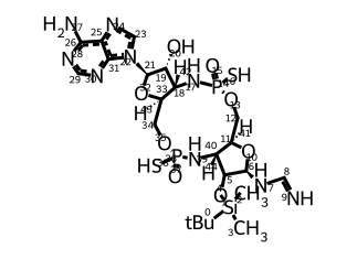 CC(C)(C)[Si](C)(C)OC1[C@H](NC=N)O[C@@H]2COP(=O)(S)N[C@H]3[C@@H](O)[C@H](n4cnc5c(N)ncnc54)O[C@@H]3COP(=O)(S)N[C@@H]12